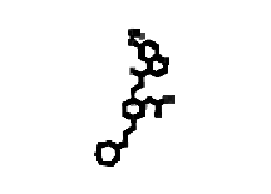 COc1ccc2nccc(C(F)CC[C@@H]3CCN(CCSC4CCCCCC4)C[C@@H]3CC(=O)O)c2c1